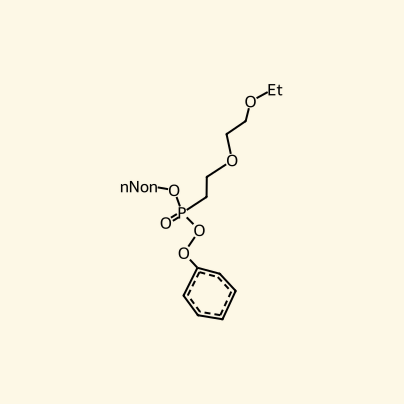 CCCCCCCCCOP(=O)(CCOCCOCC)OOc1ccccc1